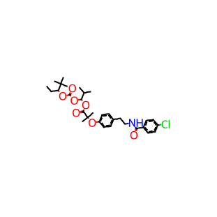 CCC(OC(=O)OC(OC(=O)C(C)(C)Oc1ccc(CCNC(=O)c2ccc(Cl)cc2)cc1)C(C)C)C(C)(C)C